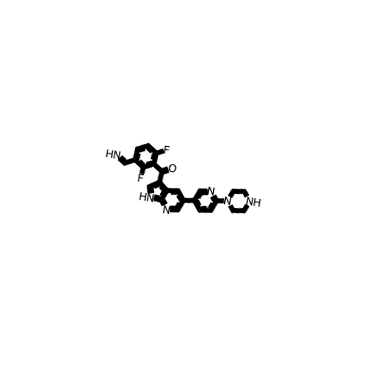 N=Cc1ccc(F)c(C(=O)c2c[nH]c3ncc(-c4ccc(N5CCNCC5)nc4)cc23)c1F